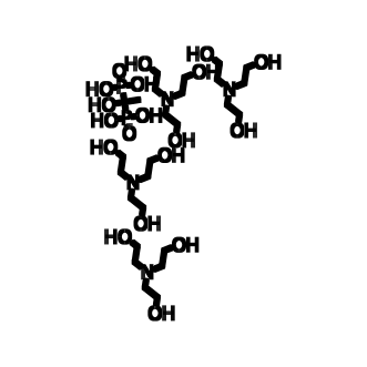 CC(O)(P(=O)(O)O)P(=O)(O)O.OCCN(CCO)CCO.OCCN(CCO)CCO.OCCN(CCO)CCO.OCCN(CCO)CCO